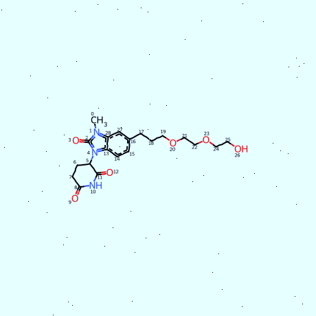 Cn1c(=O)n(C2CCC(=O)NC2=O)c2ccc(CCCOCCOCCO)cc21